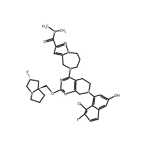 CN(C)C(=O)c1cc2n(n1)CCCN(c1nc(OC[C@@]34CCCN3C[C@H](F)C4)nc3c1CCN(c1cc(O)cc4ccc(F)c(Cl)c14)C3)C2